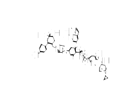 CC1(C)CCC(CN2CCN(c3ccc(C(=O)NS(=O)(=O)c4cnc(NC5CCN(C6CC6)CC5)c(Cl)c4)c(Oc4cnc5[nH]ccc5c4)c3)CC2)=C(c2ccc(Cl)cc2)C1